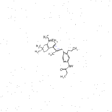 C/C=C(C1=C(NC)CC(C)(C)CC1)/C(C)=C/c1ccc(NC(=O)CC)cc1CCC